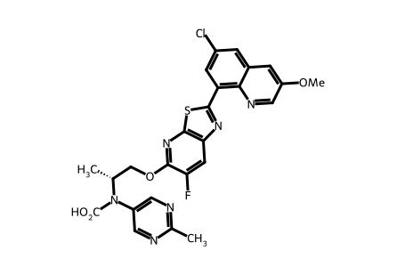 COc1cnc2c(-c3nc4cc(F)c(OC[C@@H](C)N(C(=O)O)c5cnc(C)nc5)nc4s3)cc(Cl)cc2c1